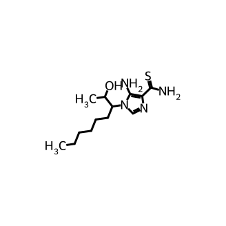 CCCCCCC(C(C)O)n1cnc(C(N)=S)c1N